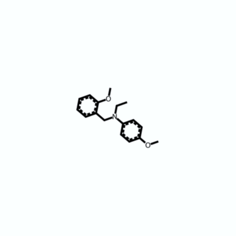 CCN(Cc1ccccc1OC)c1ccc(OC)cc1